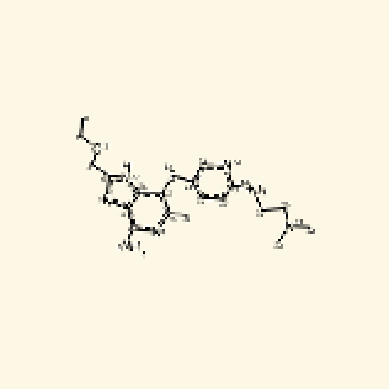 CCOCc1nc2c(N)nc(C)c(Sc3ccc(NCCN(C)C)nc3)c2[nH]1